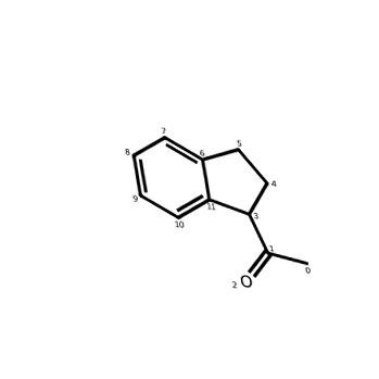 CC(=O)C1CCc2ccccc21